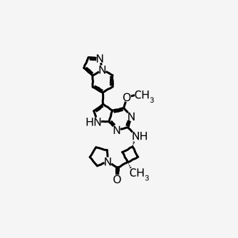 COc1nc(N[C@H]2C[C@](C)(C(=O)N3CCCC3)C2)nc2[nH]cc(-c3ccn4nccc4c3)c12